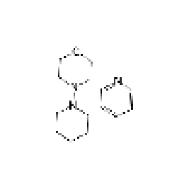 C1CCN(N2CCOCC2)CC1.c1ccncc1